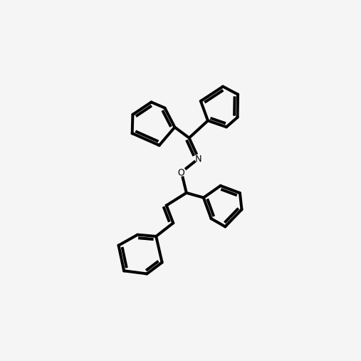 C(=CC(ON=C(c1ccccc1)c1ccccc1)c1ccccc1)c1ccccc1